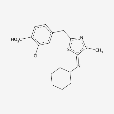 Cn1nc(Cc2ccc(C(=O)O)c(Cl)c2)sc1=NC1CCCCC1